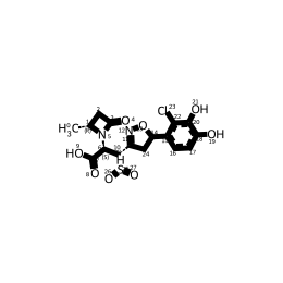 C[C@@H]1CC(=O)N1[C@@H](C(=O)O)[C@H](C1=NOC(c2ccc(O)c(O)c2Cl)C1)[SH](=O)=O